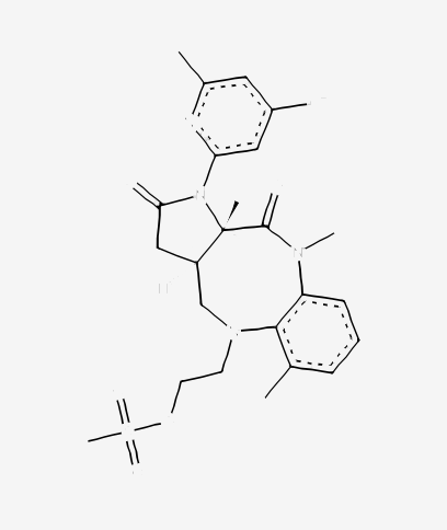 Cc1cc(C(F)(F)F)cc(N2C(=O)C[C@@H]3CN(CCOS(C)(=O)=O)c4c(C)cccc4N(C)C(=O)[C@H]32)n1